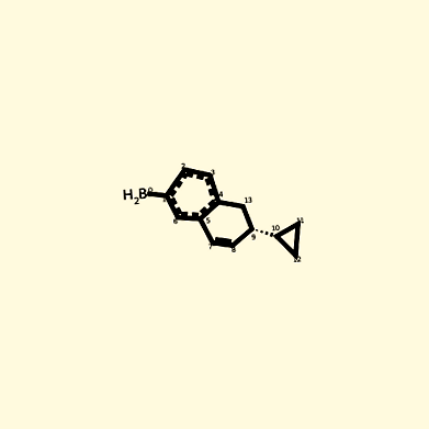 Bc1ccc2c(c1)C=C[C@@H](C1CC1)C2